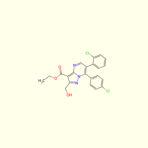 CCOC(=O)c1c(CO)nn2c(-c3ccc(Cl)cc3)c(-c3ccccc3Cl)cnc12